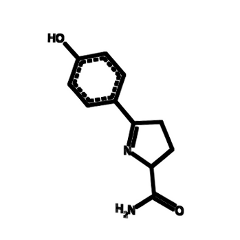 NC(=O)C1CCC(c2ccc(O)cc2)=N1